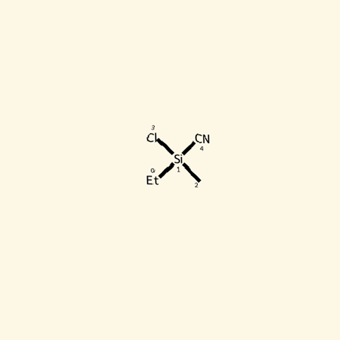 CC[Si](C)(Cl)C#N